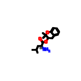 CC(C)C[C@@H](N)C(=O)OC1Cc2ccccc2OC1(C)C